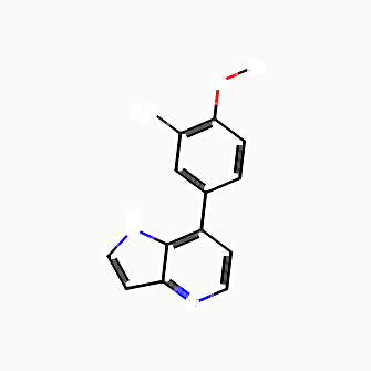 CCOc1ccc(-c2ccnc3cc[nH]c23)cc1C(F)(F)F